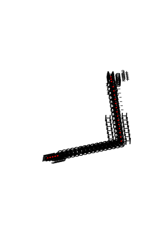 O=[Si](O)O.O=[Si](O)O.O=[Si](O)O.O=[Si](O)O.O=[Si](O)O.O=[Si](O)O.O=[Si](O)O.O=[Si](O)O.O=[Si](O)O.O=[Si](O)O.O=[Si](O)O.O=[Si](O)O.O=[Si](O)O.O=[Si](O)O.O=[Si]([O-])[O-].O=[Si]([O-])[O-].O=[Si]([O-])[O-].O=[Si]([O-])[O-].O=[Si]([O-])[O-].O=[Si]([O-])[O-].O=[Si]([O-])[O-].O=[Si]([O-])[O-].O=[Si]([O-])[O-].O=[Si]([O-])[O-].O=[Si]([O-])[O-].O=[Si]([O-])[O-].O=[Si]([O-])[O-].O=[Si]([O-])[O-].O=[Si]([O-])[O-].O=[Si]([O-])[O-].[Mg+2].[Mg+2].[Mg+2].[Mg+2].[Mg+2].[Mg+2].[Mg+2].[Mg+2].[Mg+2].[Mg+2].[Mg+2].[Mg+2].[Mg+2].[Mg+2].[Mg+2].[Mg+2]